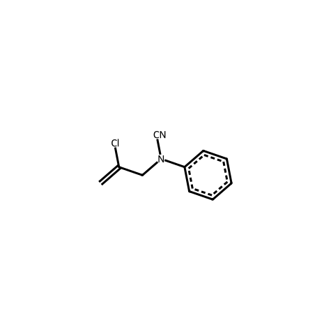 C=C(Cl)CN(C#N)c1ccccc1